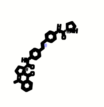 CNc1ccccc1C(=O)N1CCC[C@H]1C(=O)Nc1ccc(/C=C/c2ccc(NC(=O)[C@@H]3CCCN3)cc2)cc1